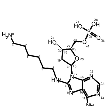 NCCCCCCNc1nc2c(N)ncnc2n1[C@H]1C[C@H](O)[C@@H](COP(=O)(O)O)O1